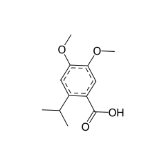 COc1cc(C(=O)O)c(C(C)C)cc1OC